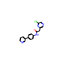 O=C(Cc1cncc(Cl)n1)Nc1ccc(-c2cccnc2)cc1